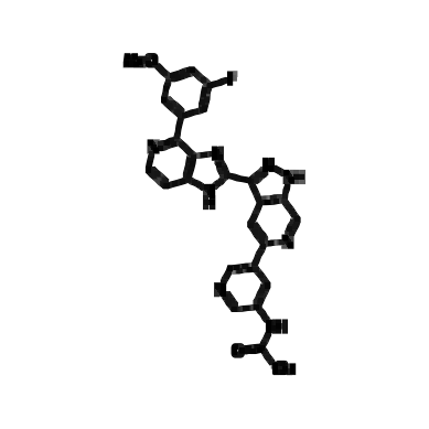 COc1cc(F)cc(-c2nccc3[nH]c(-c4n[nH]c5cnc(-c6cncc(NC(=O)C(C)(C)C)c6)cc45)nc23)c1